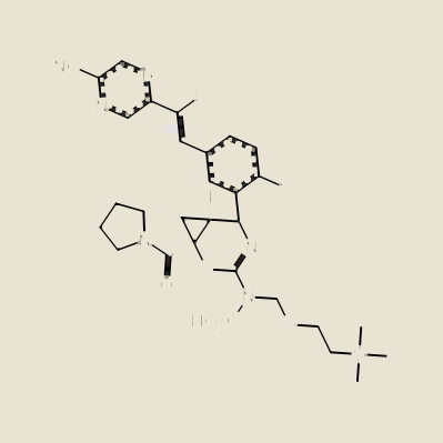 C[C@]1(c2cc(/C=C(\F)c3cnc(C#N)cn3)ccc2F)N=C(N(COCC[Si](C)(C)C)C(=O)O)S[C@@]2(C(=O)N3CCCC3)C[C@H]21